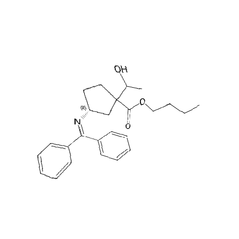 CCCCOC(=O)C1(C(C)O)CC[C@@H](N=C(c2ccccc2)c2ccccc2)C1